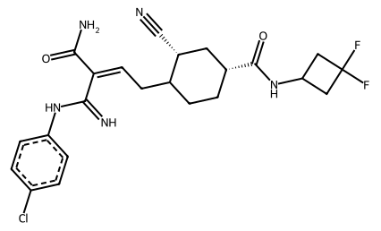 N#C[C@@H]1C[C@H](C(=O)NC2CC(F)(F)C2)CCC1C/C=C(\C(=N)Nc1ccc(Cl)cc1)C(N)=O